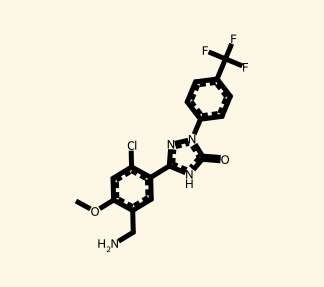 COc1cc(Cl)c(-c2nn(-c3ccc(C(F)(F)F)cc3)c(=O)[nH]2)cc1CN